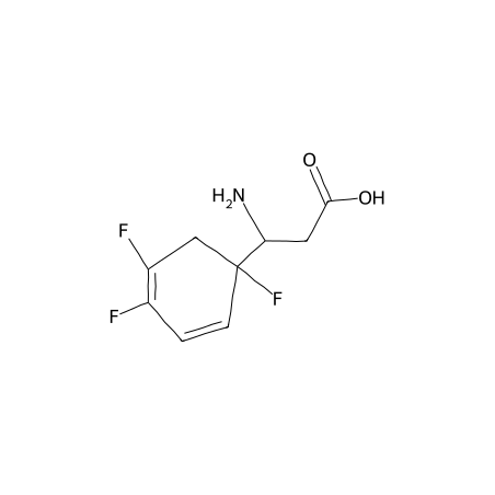 NC(CC(=O)O)C1(F)C=CC(F)=C(F)C1